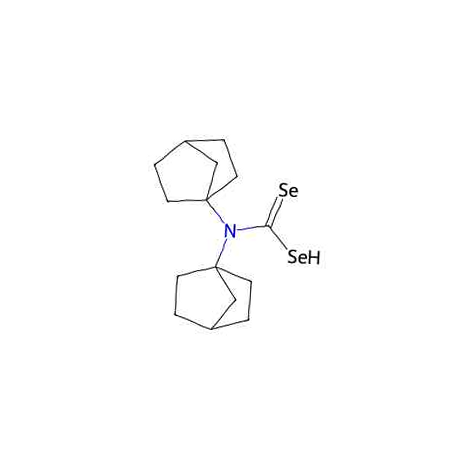 [Se]=C([SeH])N(C12CCC(CC1)C2)C12CCC(CC1)C2